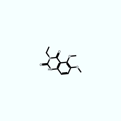 CCn1c(=O)[nH]c2ccc(OC)c(OC)c2c1=O